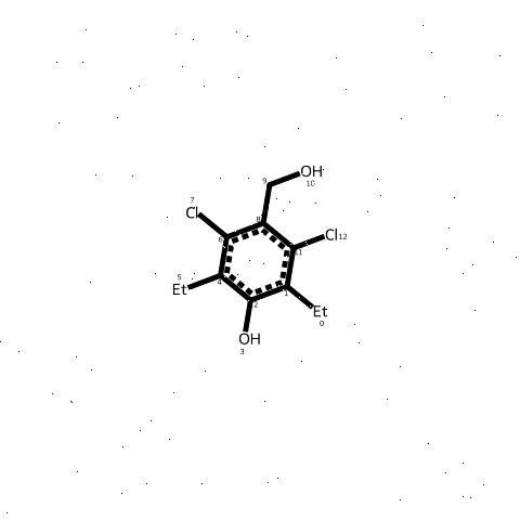 CCc1c(O)c(CC)c(Cl)c(CO)c1Cl